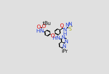 CC(C)c1ccc2c(Nc3cc(C(=O)Nc4nncs4)ccc3Oc3ccc(NC(=O)OC(C)(C)C)cc3)ncnc2n1